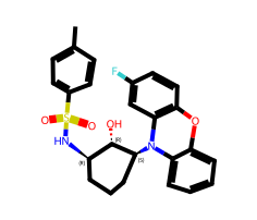 Cc1ccc(S(=O)(=O)N[C@@H]2CCC[C@H](N3c4ccccc4Oc4ccc(F)cc43)[C@H]2O)cc1